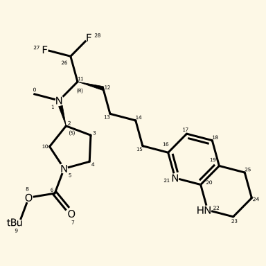 CN([C@H]1CCN(C(=O)OC(C)(C)C)C1)[C@H](CCCCc1ccc2c(n1)NCCC2)C(F)F